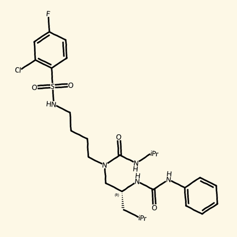 CC(C)C[C@H](CN(CCCCNS(=O)(=O)c1ccc(F)cc1Cl)C(=O)NC(C)C)NC(=O)Nc1ccccc1